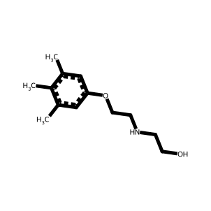 Cc1cc(OCCNCCO)cc(C)c1C